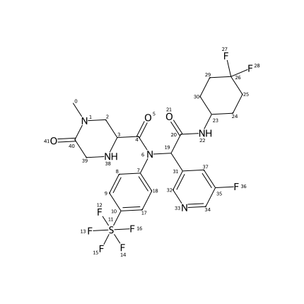 CN1CC(C(=O)N(c2ccc(S(F)(F)(F)(F)F)cc2)C(C(=O)NC2CCC(F)(F)CC2)c2cncc(F)c2)NCC1=O